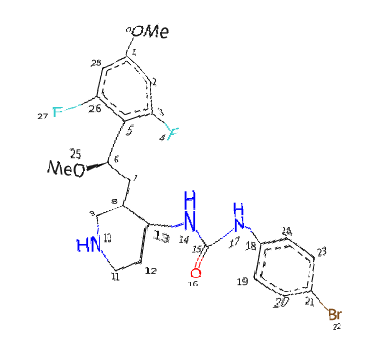 COc1cc(F)c([C@@H](CC2CNCCC2NC(=O)Nc2ccc(Br)cc2)OC)c(F)c1